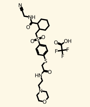 N#CCNC(=O)C1CCCCC1CS(=O)(=O)c1ccc(SCC(=O)NCCN2CCOCC2)cc1.O=C(O)C(F)(F)F